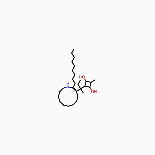 CCCCCCCCC/C1=C(\C(C)(CC)C2C(O)C(C)C2O)CCCCCCCCCN1